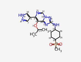 CC(C)Oc1c(-c2cn[nH]c2)ncn2nc(NC3CCC(S(C)(=O)=O)CC3)nc12